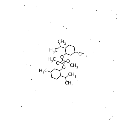 CO[Si](OC)(OC1CC(C)CCC1C(C)C)OC1CC(C)CCC1C(C)C